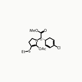 CCSC1=C(OC(C)=O)N([C@H](C(=O)OC)C2C=CC(Cl)=CC2)CC1